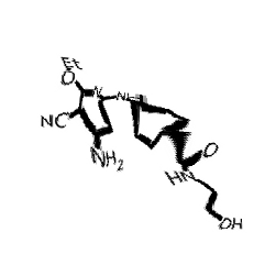 CCOc1nc(Nc2ccc(C(=O)NCCO)cc2)cc(N)c1C#N